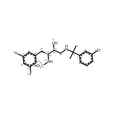 CCc1cccc(C(C)(C)NC[C@H](O)[C@H](Cc2cc(F)cc(F)c2)NC(=O)O)c1